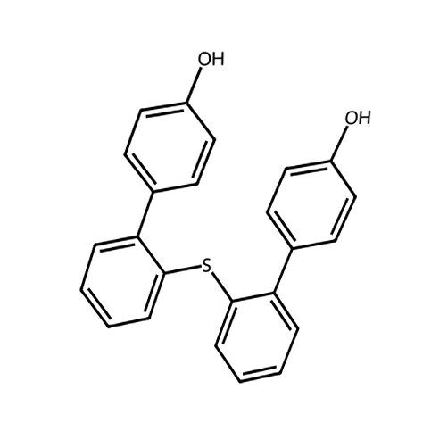 Oc1ccc(-c2ccccc2Sc2ccccc2-c2ccc(O)cc2)cc1